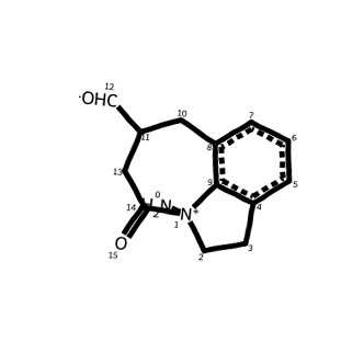 N[N+]12CCc3cccc(c31)CC([C]=O)CC2=O